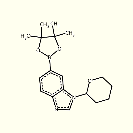 CC1(C)OB(c2ccc3ncn(C4CCCCO4)c3c2)OC1(C)C